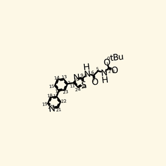 CC(C)(C)OC(=O)NCC(=O)Nc1nc(-c2cccc(-c3ccncc3)c2)cs1